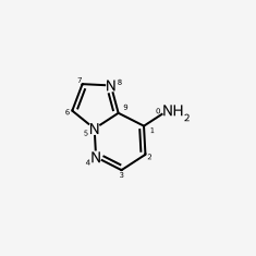 Nc1ccnn2ccnc12